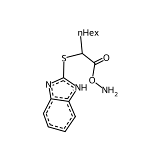 CCCCCCC(Sc1nc2ccccc2[nH]1)C(=O)ON